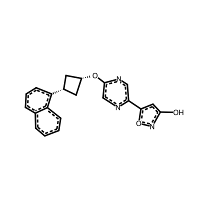 Oc1cc(-c2cnc(O[C@H]3C[C@@H](c4cccc5ccccc54)C3)cn2)on1